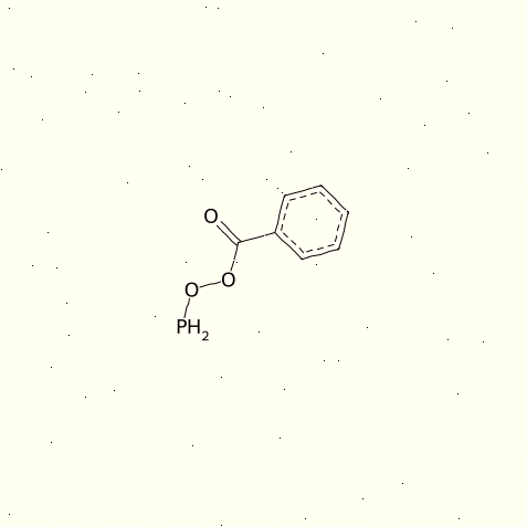 O=C(OOP)c1ccccc1